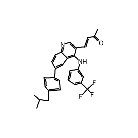 CC(=O)/C=C/c1cnc2ccc(-c3ccc(CC(C)C)cc3)cc2c1Nc1cccc(C(F)(F)F)c1